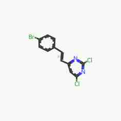 Clc1cc(/C=C/c2ccc(Br)cc2)nc(Cl)n1